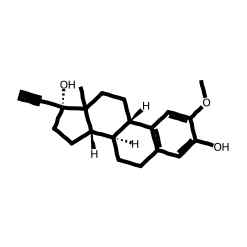 C#C[C@]1(O)CC[C@H]2[C@@H]3CCc4cc(O)c(OC)cc4[C@H]3CCC21C